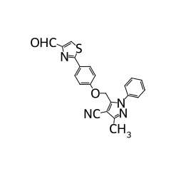 Cc1nn(-c2ccccc2)c(COc2ccc(-c3nc(C=O)cs3)cc2)c1C#N